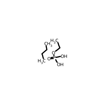 CCCC.CCOP(=O)(O)O